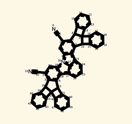 N#Cc1cc2c(c3c1C1c4ccccc4C14c1ccccc1C34)c1cccc3c4c5c(c(C#N)cc4n2c13)C1c2ccccc2C12c1ccccc1C52